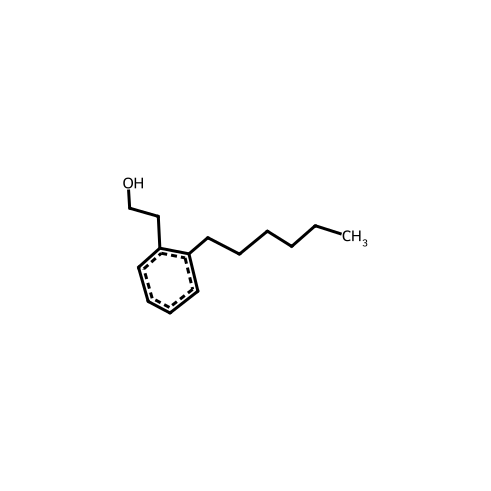 CCCCCCc1ccccc1CCO